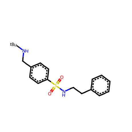 CC(C)(C)NCc1ccc(S(=O)(=O)NCCc2ccccc2)cc1